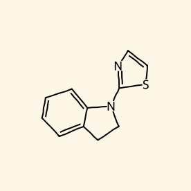 c1ccc2c(c1)CCN2c1nccs1